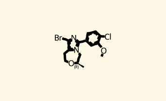 COc1cc(-c2nc(Br)c3n2C[C@@H](C)OCC3)ccc1Cl